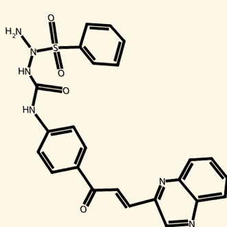 NN(NC(=O)Nc1ccc(C(=O)C=Cc2cnc3ccccc3n2)cc1)S(=O)(=O)c1ccccc1